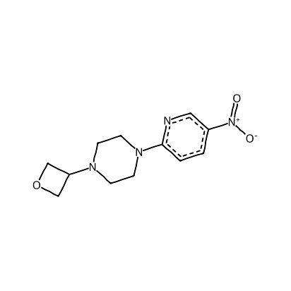 O=[N+]([O-])c1ccc(N2CCN(C3COC3)CC2)nc1